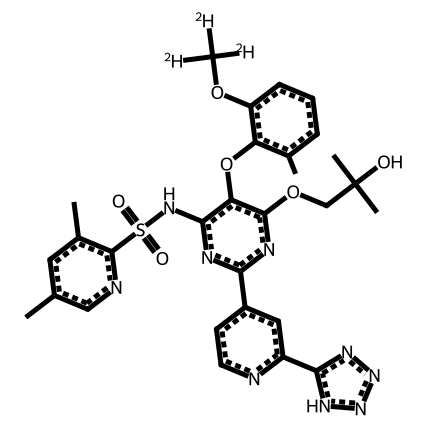 [2H]C([2H])([2H])Oc1cccc(C)c1Oc1c(NS(=O)(=O)c2ncc(C)cc2C)nc(-c2ccnc(-c3nnn[nH]3)c2)nc1OCC(C)(C)O